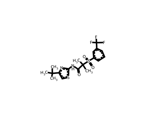 CC(C)(C)c1csc(NC(=O)C(C)(C)S(=O)(=O)c2cccc(C(F)(F)F)c2)n1